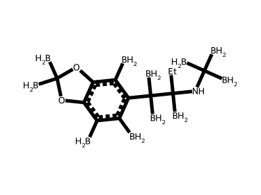 Bc1c(B)c(C(B)(B)C(B)(CC)NC(B)(B)B)c(B)c2c1OC(B)(B)O2